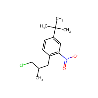 CC(CCl)Cc1ccc(C(C)(C)C)cc1[N+](=O)[O-]